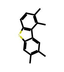 Cc1cc2sc3ccc(C)c(C)c3c2cc1C